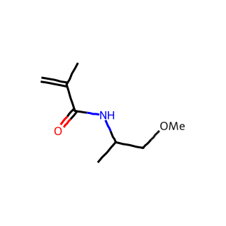 C=C(C)C(=O)NC(C)COC